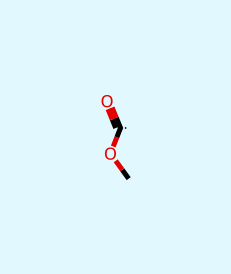 CO[C]=O